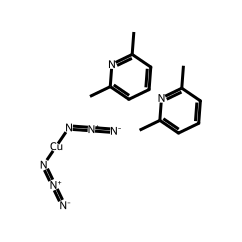 Cc1cccc(C)n1.Cc1cccc(C)n1.[N-]=[N+]=[N][Cu][N]=[N+]=[N-]